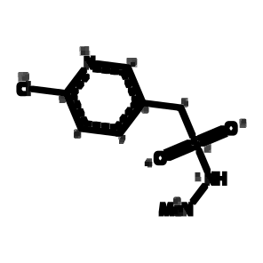 CNNS(=O)(=O)Cc1ccc(Cl)nc1